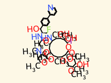 CO[C@]1(C)C[C@@H](C)C(=N)[C@H](C)[C@@H](O)[C@](C)(O)[C@@H](I)OC(=O)[C@H](C)[C@@H](O[C@H]2C[C@@](C)(OC)[C@@H](O)[C@H](C)O2)[C@H](C)[C@H]1O[C@H]1C[C@@H](N(C)CCC(=O)N[C@H](CF)[C@H](O)c2ccc(-c3cccnc3)cc2)C[C@@H](C)O1